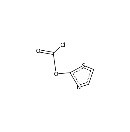 O=C(Cl)Oc1nccs1